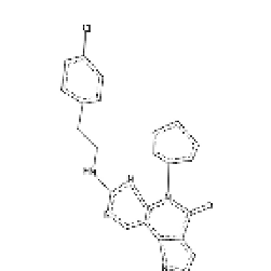 O=c1c2c[nH]nc2c2cnc(NCCc3ccc(Cl)cc3)nc2n1-c1ccccc1